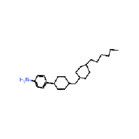 CCCCCCC1CCC(CC2CCC(c3ccc(N)cc3)CC2)CC1